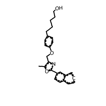 Cc1oc(-c2ccc3ccccc3c2)nc1COc1ccc(CCCCCO)cc1